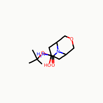 CC(C)(C)OC(=O)N1C2COCC1CC(N)(O)C2